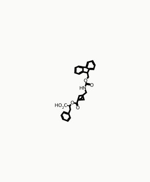 O=C(NCC12CC(C(=O)O[C@@H](Cc3ccccc3)C(=O)O)(C1)C2)OCC1c2ccccc2-c2ccccc21